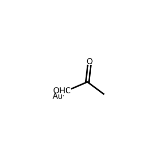 CC(=O)C=O.[Au]